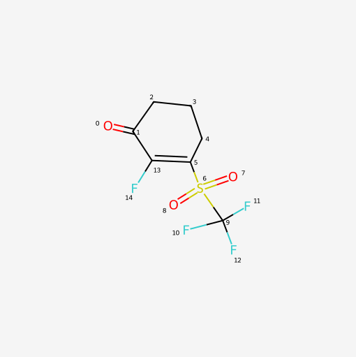 O=C1CCCC(S(=O)(=O)C(F)(F)F)=C1F